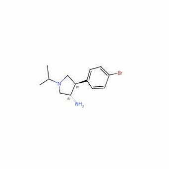 CC(C)N1C[C@@H](N)[C@H](c2ccc(Br)cc2)C1